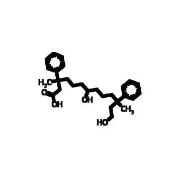 CC(CCO)(CCCC(O)CCCC(C)(CC(=O)O)c1ccccc1)c1ccccc1